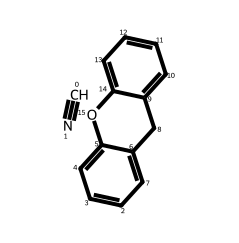 C#N.c1ccc2c(c1)Cc1ccccc1O2